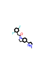 Cn1ccc(-c2ccc3c(c2)CCN3C(=O)Cc2cc(F)ccc2F)n1